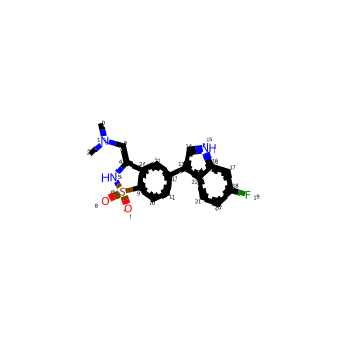 CN(C)CC1NS(=O)(=O)c2ccc(-c3c[nH]c4cc(F)ccc34)cc21